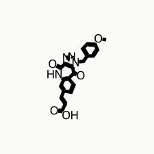 COc1ccc(Cn2nnc3c(=O)[nH]c4cc(/C=C/C(=O)O)ccc4c(=O)c32)cc1